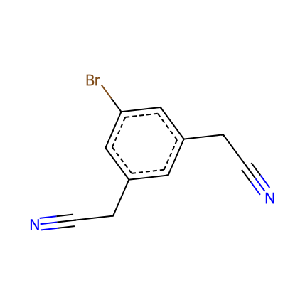 N#CCc1cc(Br)cc(CC#N)c1